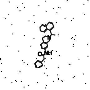 CC(c1cccc2ccccc12)N1CCc2ccc(NC(=O)Cc3ccccc3)cc2C1